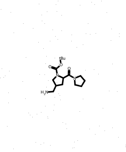 CC(C)(C)OC(=O)N1CC(CN)CC1C(=O)N1CCCC1